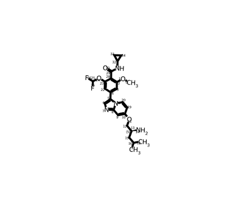 COc1cc(-c2cnc3cc(OC[C@@H](N)CC(C)C)ccn23)cc(OC(F)F)c1C(=O)NC1CC1